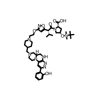 CC(C)[C@@H](C(=O)N1C[C@H](O[Si](C)(C)C(C)(C)C)C[C@@H]1C(=O)O)c1cc(OCCN2CCC(CN3CCN4c5cc(-c6ccccc6O)nnc5NC[C@H]4C3)CC2)no1